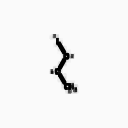 COOI